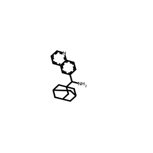 NC(c1ccc2ncccc2c1)C12CC3CC(CC(C3)C1)C2